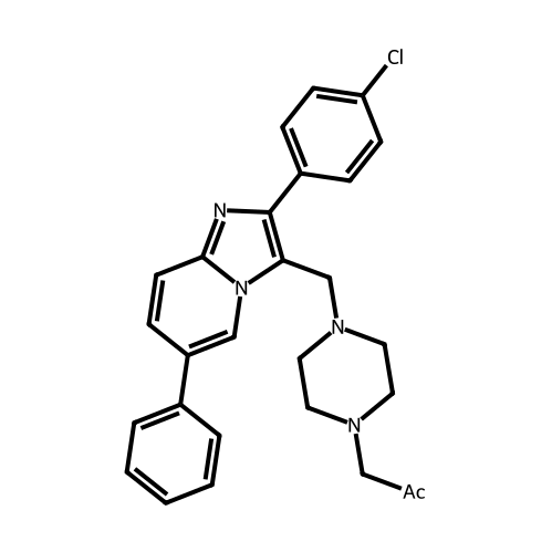 CC(=O)CN1CCN(Cc2c(-c3ccc(Cl)cc3)nc3ccc(-c4ccccc4)cn23)CC1